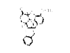 COc1ccc2c3c1O[C@H]1C(=O)CC[C@H]4[C@@H](C2)N(Cc2ccccc2)CC[C@]314